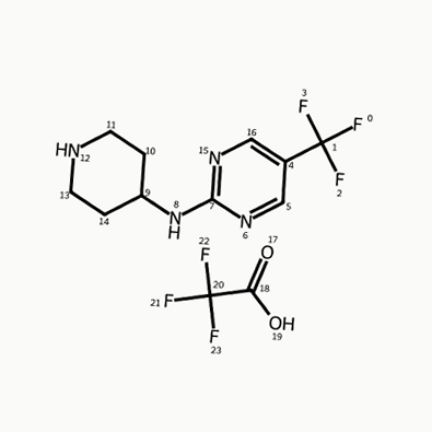 FC(F)(F)c1cnc(NC2CCNCC2)nc1.O=C(O)C(F)(F)F